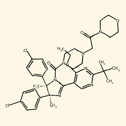 CCOc1nc(C(C)(C)C)ncc1C1=N[C@@](C)(c2ccc(Cl)cc2)[C@@](C)(c2ccc(Cl)cc2)N1C(=O)N1CCN(CC(=O)N2CCOCC2)CC1